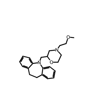 COCCN1CCOC(CN2c3ccccc3CCc3ccccc32)C1